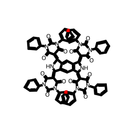 O=C1C(=c2[nH]c(=C3C(=O)N(c4ccccc4)C(=O)N(c4ccccc4)C3=O)c3cc4c(=C5C(=O)N(c6ccccc6)C(=O)N(c6ccccc6)C5=O)[nH]c(=C5C(=O)N(c6ccccc6)C(=O)N(c6ccccc6)C5=O)c4cc23)C(=O)N(c2ccccc2)C(=O)N1c1ccccc1